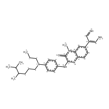 CCCN(CCCC(C)C(C)C)c1ccc(Nc2nc3ccc(/C(C=N)=C/N)cc3n(C)c2=O)cc1